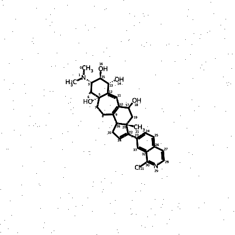 CN(C)[C@H]1C[C@]2(O)CCC3=C(C=C2[C@@H](O)[C@@H]1O)C(O)C[C@]1(C)C(c2ccc4ccnc(Cl)c4c2)=CCC31